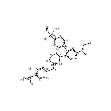 CCC(C)c1ccc(C2CCCN(Cc3ccc(C(F)(F)F)cc3)C2)c(-c2ccc(C(F)(F)F)cc2)c1